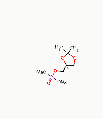 COP(=O)(OC)OC[C@@H]1COC(C)(C)O1